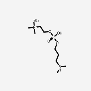 CCCC[N+](C)(C)CCOP(=O)(O)OCCC[SiH](C)C